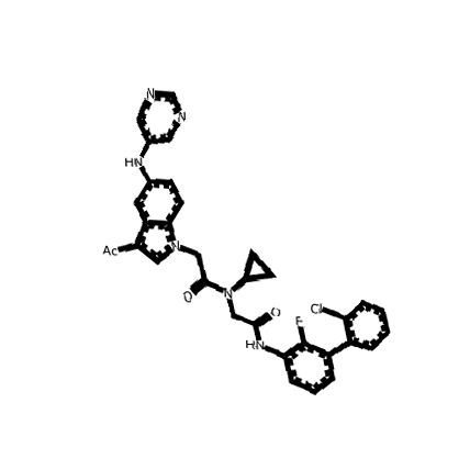 CC(=O)c1cn(CC(=O)N(CC(=O)Nc2cccc(-c3ccccc3Cl)c2F)C2CC2)c2ccc(Nc3cncnc3)cc12